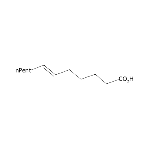 CCCCCC=CCCCCC(=O)O